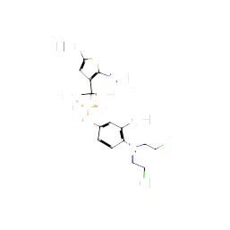 Cc1cc(C(C)(C)S(=O)(=O)Oc2ccc(N(CCCl)CCCl)c(C)c2)c(N)s1